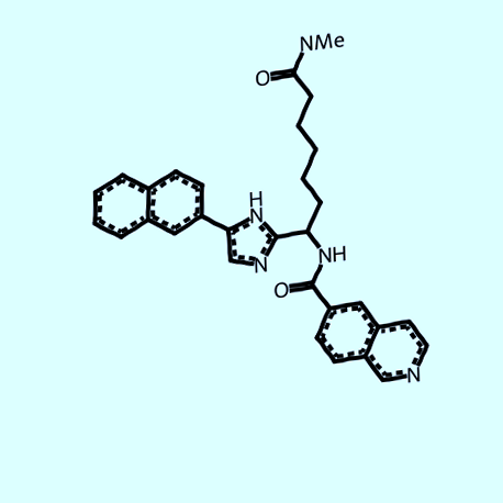 CNC(=O)CCCCCC(NC(=O)c1ccc2cnccc2c1)c1ncc(-c2ccc3ccccc3c2)[nH]1